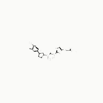 CN(C(=O)Nc1ncc(SCC(=O)O)s1)C1CCC(c2ccc(Br)c(Cl)c2)C1